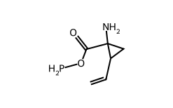 C=CC1CC1(N)C(=O)OP